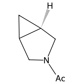 CC(=O)N1CC2C[C@H]2C1